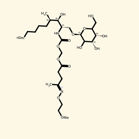 CCCCCCCCCCCCCC[C@@H](C)[C@@H](O)[C@H](CO[C@H]1OC(CO)[C@H](O)[C@H](O)C1O)NC(=O)OCOC(=O)CC/C(C)=N/OCCOC